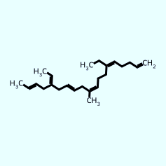 C=CCCC=C(CC)CCC=C(C)CC=CCC(=CC)CC=CC